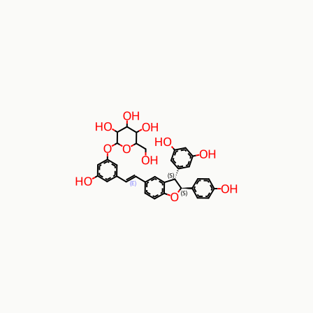 OCC1OC(Oc2cc(O)cc(/C=C/c3ccc4c(c3)[C@H](c3cc(O)cc(O)c3)[C@@H](c3ccc(O)cc3)O4)c2)C(O)C(O)C1O